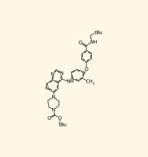 Cc1cc(Nc2ncnc3cnc(N4CCN(C(=O)OC(C)(C)C)CC4)cc23)ccc1Oc1ccc(C(=O)NCC(C)(C)C)cc1